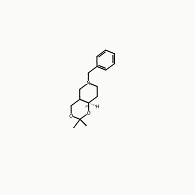 CC1(C)OCC2CN(Cc3ccccc3)CC[C@H]2O1